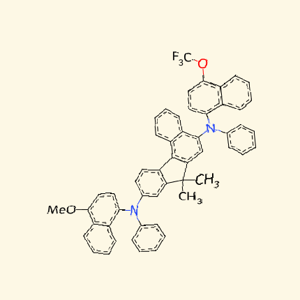 COc1ccc(N(c2ccccc2)c2ccc3c(c2)C(C)(C)c2cc(N(c4ccccc4)c4ccc(OC(F)(F)F)c5ccccc45)c4ccccc4c2-3)c2ccccc12